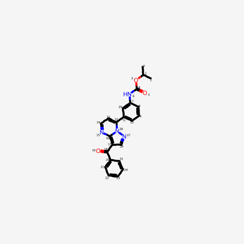 CC(C)OC(=O)Nc1cccc(-c2ccnc3c(C(=O)c4ccccc4)cnn23)c1